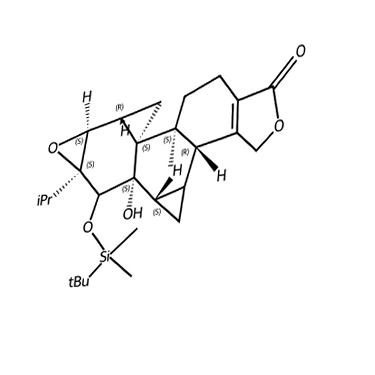 CC(C)[C@]12O[C@H]1[C@@H]1C[C@@]13[C@@]1(C)CCC4=C(COC4=O)[C@@H]1C1C[C@@H]1[C@@]3(O)C2O[Si](C)(C)C(C)(C)C